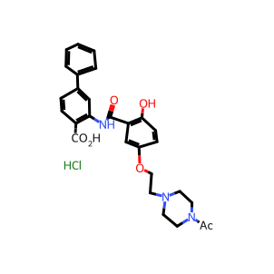 CC(=O)N1CCN(CCOc2ccc(O)c(C(=O)Nc3cc(-c4ccccc4)ccc3C(=O)O)c2)CC1.Cl